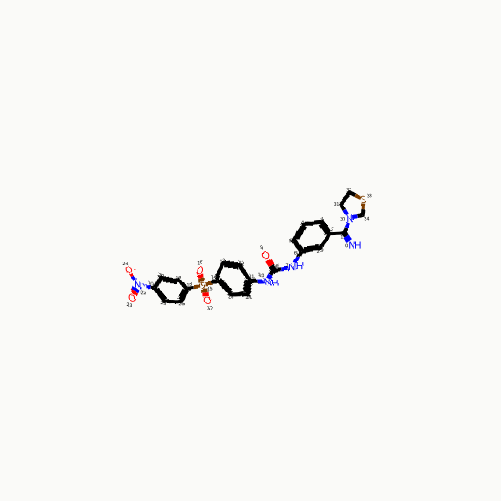 N=C(c1cccc(NC(=O)Nc2ccc(S(=O)(=O)c3ccc([N+](=O)[O-])cc3)cc2)c1)N1CCSC1